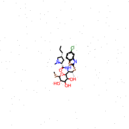 CCC[C@@H]1C[C@H](C(=O)N[C@H](C2OC(SC)[C@@H](O)C(O)C2O)[C@@H](C)Sc2nc3cc(Cl)ccc3s2)N(C)C1